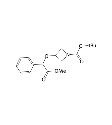 COC(=O)C(OC1CN(C(=O)OC(C)(C)C)C1)c1ccccc1